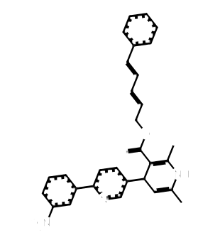 CC1=CC(c2ccc(-c3cccc([N+](=O)[O-])c3)nc2)C(C(=O)OC/C=C/C=C/c2ccccc2)=C(C)N1